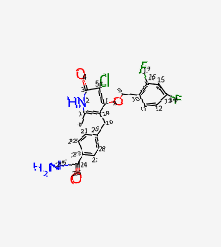 Cc1[nH]c(=O)c(Cl)c(OCc2ccc(F)cc2F)c1Cc1ccc(C(N)=O)cc1